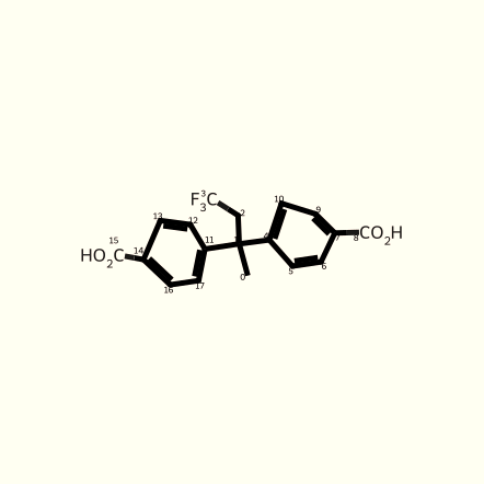 CC(CC(F)(F)F)(c1ccc(C(=O)O)cc1)c1ccc(C(=O)O)cc1